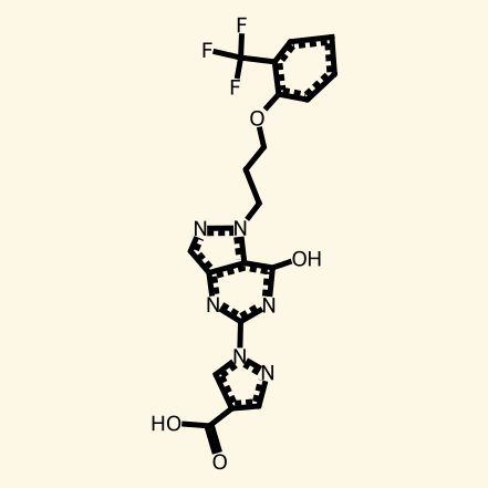 O=C(O)c1cnn(-c2nc(O)c3c(cnn3CCCOc3ccccc3C(F)(F)F)n2)c1